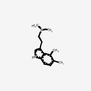 Cc1ccc2[nH]cc(CCN(C)C)c2c1C